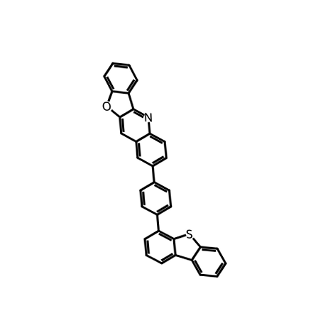 c1ccc2c(c1)oc1cc3cc(-c4ccc(-c5cccc6c5sc5ccccc56)cc4)ccc3nc12